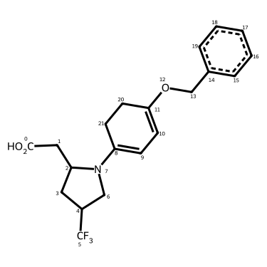 O=C(O)CC1CC(C(F)(F)F)CN1C1=CC=C(OCc2ccccc2)CC1